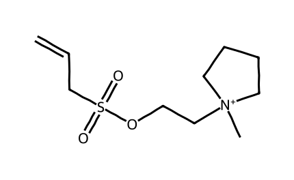 C=CCS(=O)(=O)OCC[N+]1(C)CCCC1